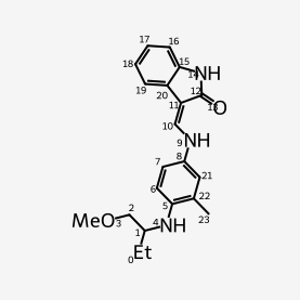 CCC(COC)Nc1ccc(NC=C2C(=O)Nc3ccccc32)cc1C